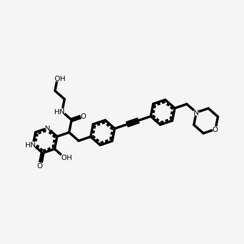 O=C(NCCO)C(Cc1ccc(C#Cc2ccc(CN3CCOCC3)cc2)cc1)c1nc[nH]c(=O)c1O